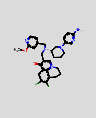 COc1cc(CN(Cc2cn3c4c(c(F)c(F)cc4c2=O)CCC3)[C@H]2CCCN(c3ccc(N)nc3)C2)ccn1